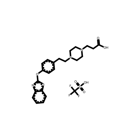 O=C(O)CCN1CCN(CCc2ccc(Oc3nc4ccccc4s3)cc2)CC1.O=S(=O)(O)C(F)(F)F